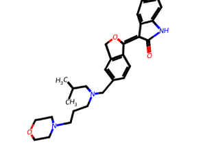 CC(C)CN(CCCN1CCOCC1)Cc1ccc2c(c1)CO/C2=C1/C(=O)Nc2ccccc21